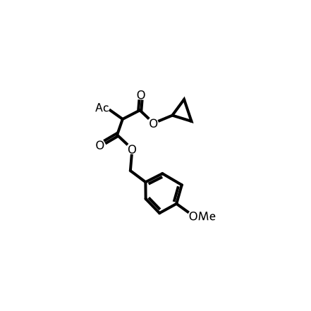 COc1ccc(COC(=O)C(C(C)=O)C(=O)OC2CC2)cc1